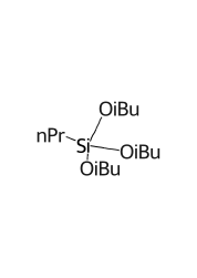 [CH2]CC[Si](OCC(C)C)(OCC(C)C)OCC(C)C